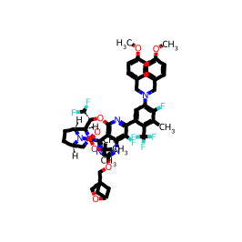 COc1ccc(CN(Cc2ccc(OC)cc2)c2cc(-c3nc4c5c(nc(OCC67COC(C6)C7)nc5c3F)N3C[C@H]5CC[C@@H]([C@H]3[C@H](C(F)F)O4)N5C(=O)OC(C)(C)C)c(C(F)(F)F)c(C)c2F)cc1